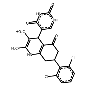 CC1=C(C(=O)O)C(c2c[nH]c(=O)[nH]c2=O)C2=C(CC(c3c(Cl)cccc3Cl)CC2=O)N1